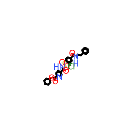 O=C(NCCc1ccccc1)c1ccc(S(=O)(=O)NC(=O)c2ccc(C(=O)OC3CCCCC3)nc2)c(Cl)c1